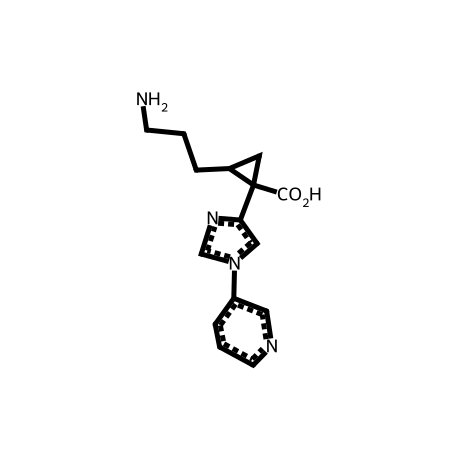 NCCCC1CC1(C(=O)O)c1cn(-c2cccnc2)cn1